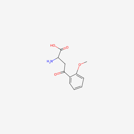 COc1ccccc1C(=O)CC(N)C(=O)O